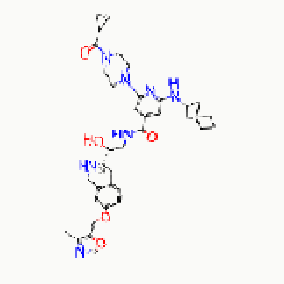 Cc1ncoc1COc1ccc2c(c1)CN[C@H](C(O)CNC(=O)c1cc(NC3CC4(CCC4)C3)nc(N3CCN(C(=O)C4CC4)CC3)c1)C2